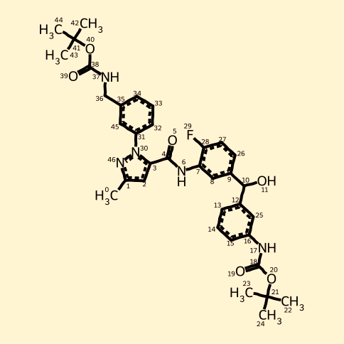 Cc1cc(C(=O)Nc2cc(C(O)c3cccc(NC(=O)OC(C)(C)C)c3)ccc2F)n(-c2cccc(CNC(=O)OC(C)(C)C)c2)n1